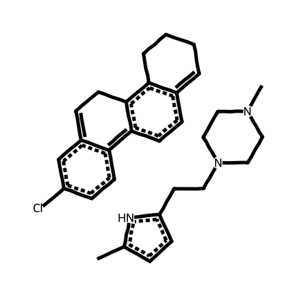 Cc1ccc(CCN2CCN(C)CC2)[nH]1.Clc1ccc2c(c1)=CCc1c3c(ccc1=2)=CCCC3